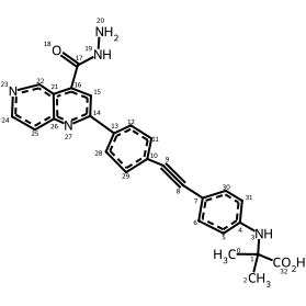 CC(C)(Nc1ccc(C#Cc2ccc(-c3cc(C(=O)NN)c4cnccc4n3)cc2)cc1)C(=O)O